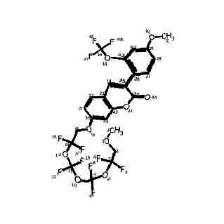 COCC(F)(F)OC(F)(F)OC(F)(F)OC(F)(F)COc1ccc2cc(-c3ccc(OC)cc3OC(F)(F)F)c(=O)oc2c1